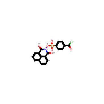 O=C(Cl)c1ccc(S(=O)(=O)ON2C(=O)c3cccc4cccc(c34)C2=O)cc1